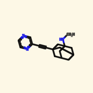 O=C(O)NC12CC3CC(CC(C#Cc4cnccn4)(C3)C1)C2